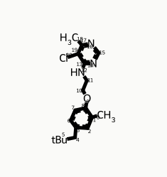 Cc1cc(CC(C)(C)C)ccc1OCCNc1ncnc(C)c1Cl